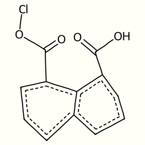 O=C(O)c1cccc2cccc(C(=O)OCl)c12